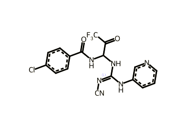 N#C/N=C(\Nc1cccnc1)NC(NC(=O)c1ccc(Cl)cc1)C(=O)C(F)(F)F